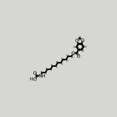 O=C(O)NCCCCCCCCCCCCOC(=O)c1ccc2c(c1)OCO2